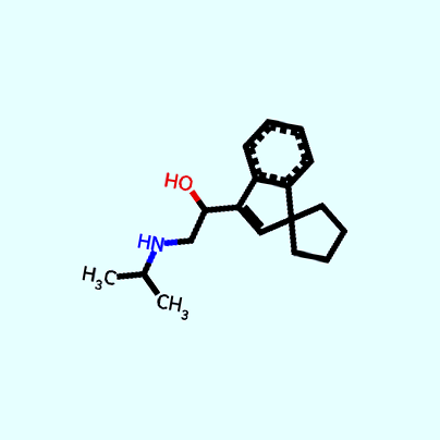 CC(C)NCC(O)C1=CC2(CCCC2)c2ccccc21